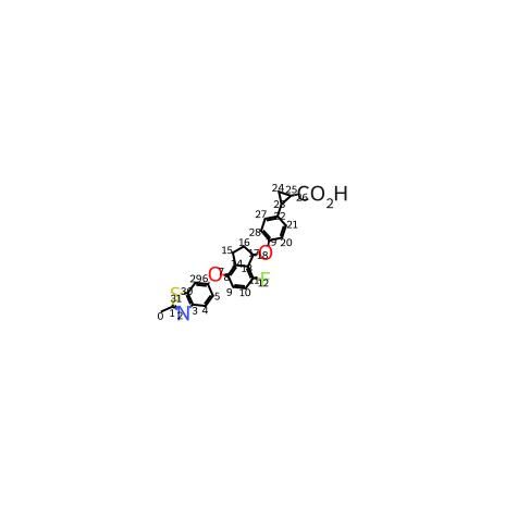 Cc1nc2ccc(Oc3ccc(F)c4c3CCC4Oc3ccc(C4CC4C(=O)O)cc3)cc2s1